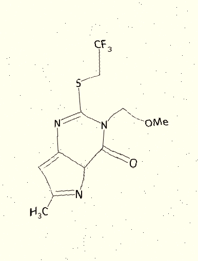 COCN1C(=O)C2N=C(C)C=C2N=C1SCC(F)(F)F